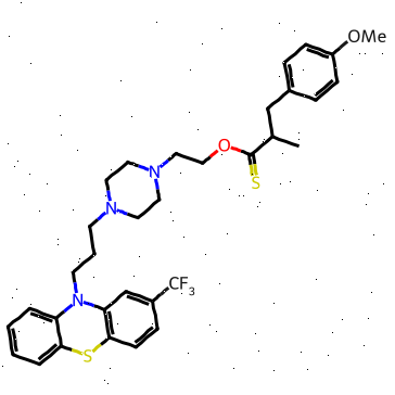 COc1ccc(CC(C)C(=S)OCCN2CCN(CCCN3c4ccccc4Sc4ccc(C(F)(F)F)cc43)CC2)cc1